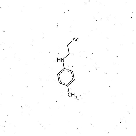 CC(=O)CCNc1ccc(C)cc1